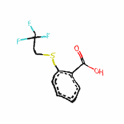 O=C(O)c1ccccc1SCC(F)(F)F